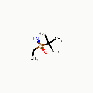 CCS(=N)(=O)C(C)(C)C